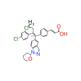 CC/C(=C(\c1ccc(C=CC(=O)O)cc1)c1ccc2c(cnn2C2CCCCO2)c1)c1ccc(Cl)cc1Cl